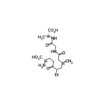 CCC(C[C@H](C)CC(=O)NCC(=O)N[C@H](C)C(=O)O)C(=O)CC[C@H](N)C(=O)O